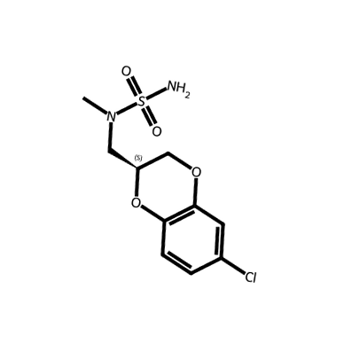 CN(C[C@H]1COc2cc(Cl)ccc2O1)S(N)(=O)=O